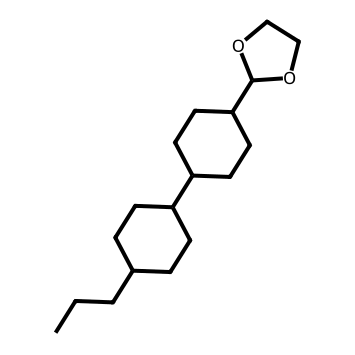 CCCC1CCC(C2CCC(C3OCCO3)CC2)CC1